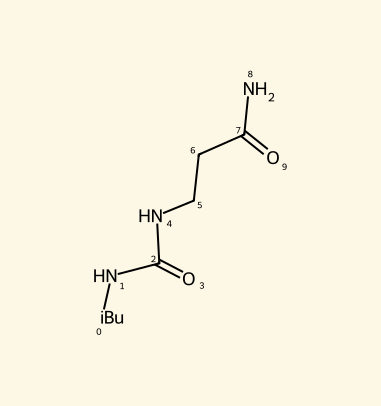 CCC(C)NC(=O)NCCC(N)=O